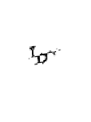 CNC(=O)Cc1ccc(Cl)c(C(N)C2CC2)c1